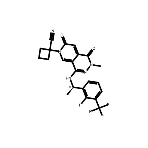 C[C@@H](Nc1nn(C)c(=O)c2cc(=O)n(C3(C#N)CCC3)cc12)c1cccc(C(F)(F)F)c1F